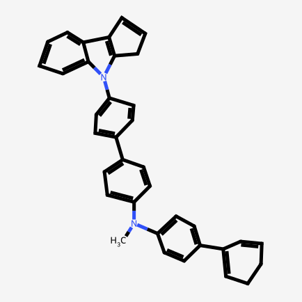 CN(c1ccc(C2=CCCC=C2)cc1)c1ccc(-c2ccc(-n3c4c(c5ccccc53)C=CC4)cc2)cc1